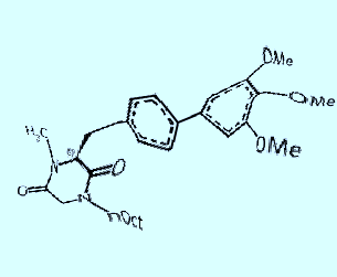 CCCCCCCCN1CC(=O)N(C)[C@@H](Cc2ccc(-c3cc(OC)c(OC)c(OC)c3)cc2)C1=O